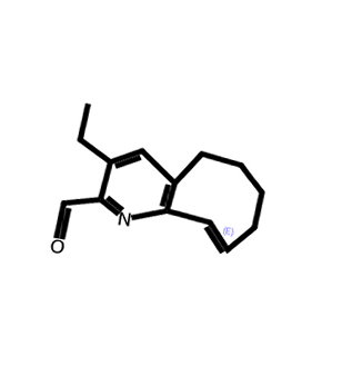 CCc1cc2c(nc1C=O)/C=C/CCCC2